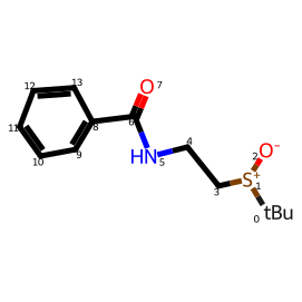 CC(C)(C)[S+]([O-])CCNC(=O)c1ccccc1